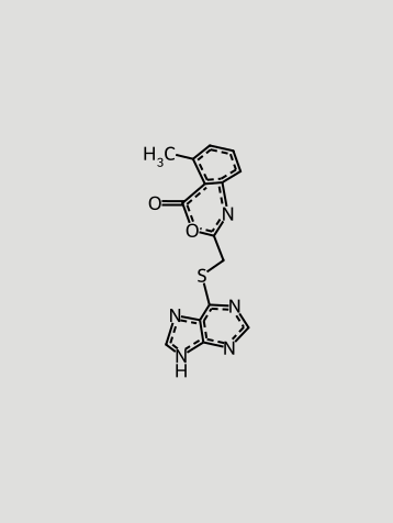 Cc1cccc2nc(CSc3ncnc4[nH]cnc34)oc(=O)c12